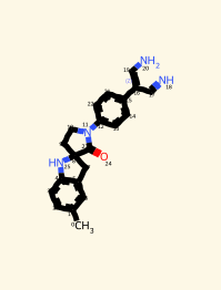 Cc1ccc2c(c1)CC1(CCN(c3ccc(/C(C=N)=C/N)cc3)C1=O)N2